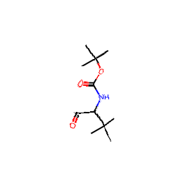 CC(C)(C)OC(=O)NC([C]=O)C(C)(C)C